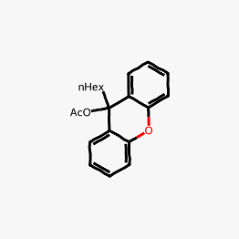 CCCCCCC1(OC(C)=O)c2ccccc2Oc2ccccc21